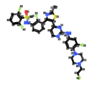 C=S(=O)(Nc1cccc(-c2nc(C(C)C)sc2-c2ccnc(Nc3ccc(N4CCN(CCF)CC4)c(F)c3)n2)c1F)c1c(F)cccc1F